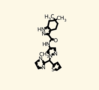 Cn1ccnc1C(c1cccs1)n1cc(NC(=O)c2n[nH]c3c2CCC(C)(C)C3)cn1